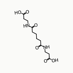 O=C(O)CCNC(=O)CCCCC(=O)NCCC(=O)O